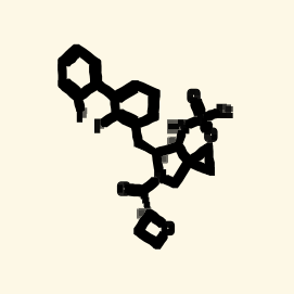 CCS(=O)(=O)N[C@@H]1[C@H](Cc2cccc(-c3ccccc3F)c2F)N(C(=O)[C@H]2CCO2)CC12CC2